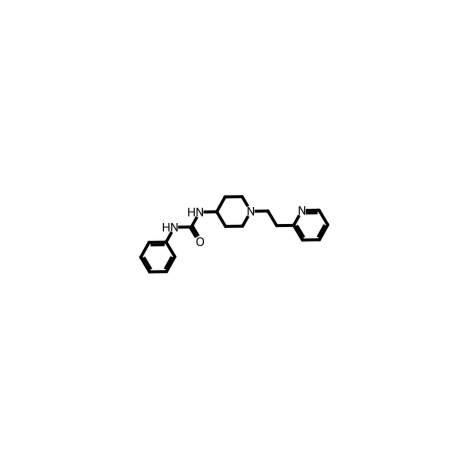 O=C(Nc1ccccc1)NC1CCN(CCc2ccccn2)CC1